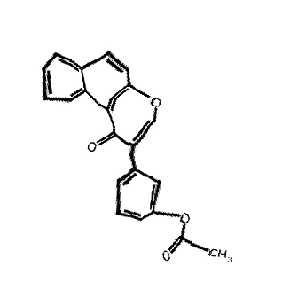 CC(=O)Oc1cccc(-c2coc3ccc4ccccc4c3c2=O)c1